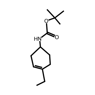 CCC1=CCC(NC(=O)OC(C)(C)C)CC1